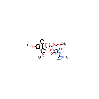 COCCO[C@@H]1[C@H](O)[C@@H](COC(c2ccccc2)(c2ccc(OC)cc2)c2ccc(OC)cc2)O[C@H]1n1cc(C)c(N=C2CCCN2C)nc1=O